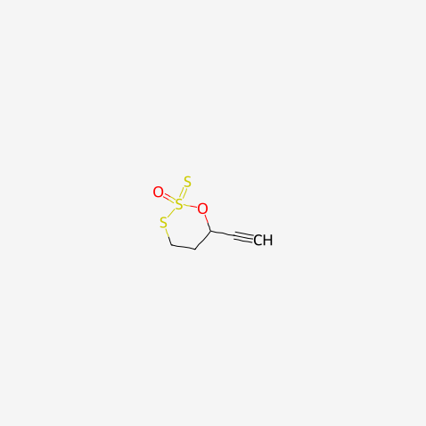 C#CC1CCSS(=O)(=S)O1